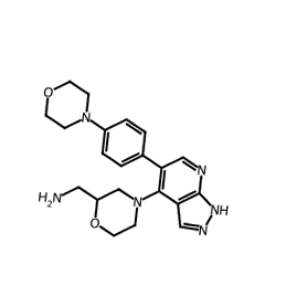 NCC1CN(c2c(-c3ccc(N4CCOCC4)cc3)cnc3[nH]ncc23)CCO1